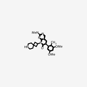 CNc1ncc2cc(-c3cc(OC)cc(OC)c3C)c(=O)n(C3CC4(CCNCC4)C3)c2n1